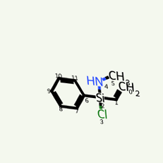 C=C[Si](Cl)(NC)c1ccccc1